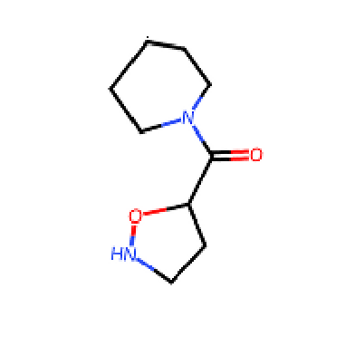 O=C(C1CCNO1)N1CC[CH]CC1